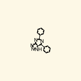 c1ccc(-c2nc(-c3ccccc3)c3[nH]nnc3n2)cc1